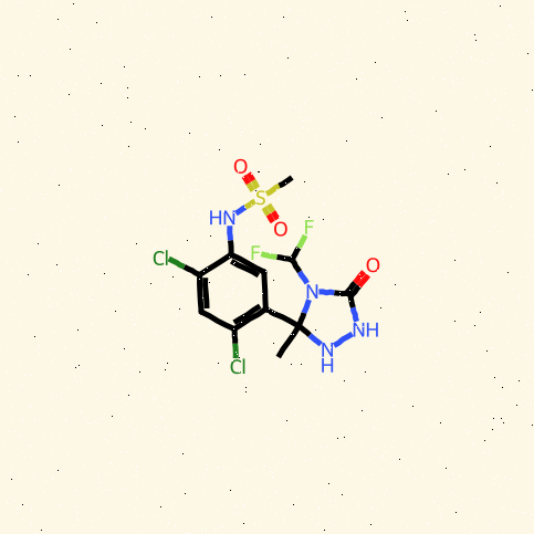 CC1(c2cc(NS(C)(=O)=O)c(Cl)cc2Cl)NNC(=O)N1C(F)F